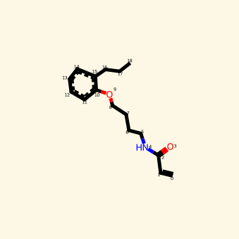 C=CC(=O)NCCCCOc1ccccc1CCC